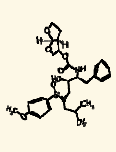 COc1ccc([S+]([O-])N(CC(C)C)C[C@@H](O)[C@H](Cc2ccccc2)NC(=O)O[C@H]2CO[C@H]3OCC[C@H]32)cc1